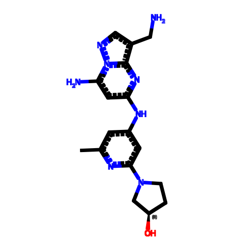 Cc1cc(Nc2cc(N)n3ncc(CN)c3n2)cc(N2CC[C@@H](O)C2)n1